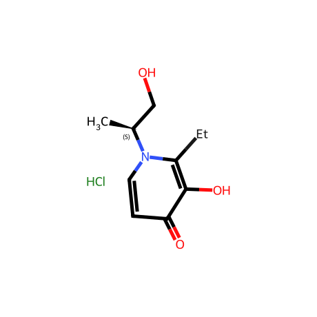 CCc1c(O)c(=O)ccn1[C@@H](C)CO.Cl